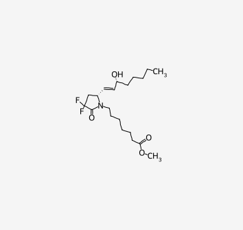 CCCCC[C@@H](O)C=C[C@H]1CC(F)(F)C(=O)N1CCCCCCC(=O)OC